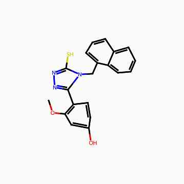 COc1cc(O)ccc1-c1nnc(S)n1Cc1cccc2ccccc12